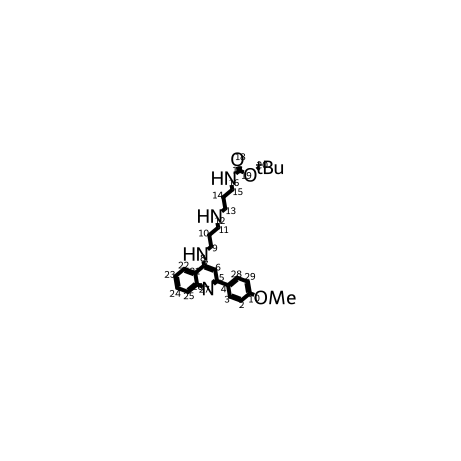 COc1ccc(-c2cc(NCCCNCCCNC(=O)OC(C)(C)C)c3ccccc3n2)cc1